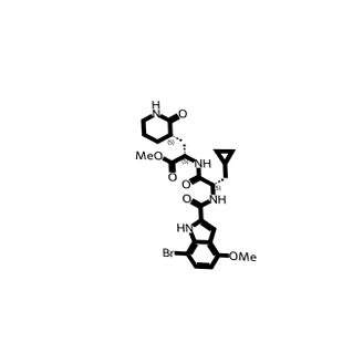 COC(=O)[C@H](C[C@@H]1CCCNC1=O)NC(=O)[C@H](CC1CC1)NC(=O)c1cc2c(OC)ccc(Br)c2[nH]1